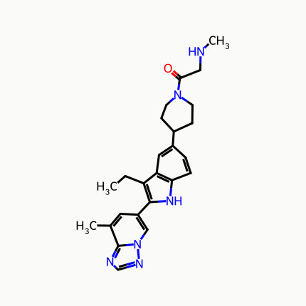 CCc1c(-c2cc(C)c3ncnn3c2)[nH]c2ccc(C3CCN(C(=O)CNC)CC3)cc12